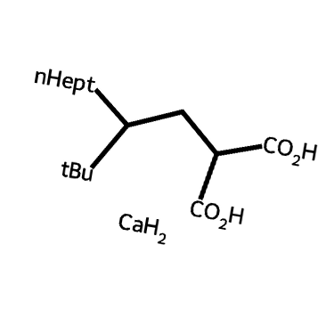 CCCCCCCC(CC(C(=O)O)C(=O)O)C(C)(C)C.[CaH2]